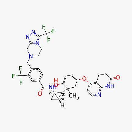 CC1([C@@H]2[C@@H]3C[C@]32NC(=O)c2ccc(CN3CCn4c(nnc4C(F)(F)F)C3)c(C(F)(F)F)c2)CC(Oc2ccnc3c2CCC(=O)N3)=CC=C1O